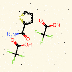 NC(=O)c1cccs1.O=C(O)C(F)(F)F.O=C(O)C(F)(F)F